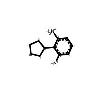 Nc1cccc(S)c1C1CCCC1